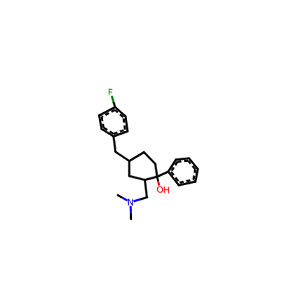 CN(C)CC1CC(Cc2ccc(F)cc2)CCC1(O)c1ccccc1